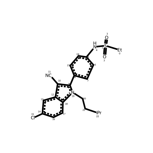 CCS(=O)(=O)Nc1ccc(-c2c(C#N)c3cc(Cl)ccc3n2CCC(C)C)cc1